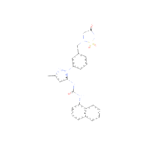 CC(C)(C)c1cc(NC(=O)Nc2cccc3ccccc23)n(-c2cccc(CN3CC(=O)NS3(=O)=O)c2)n1